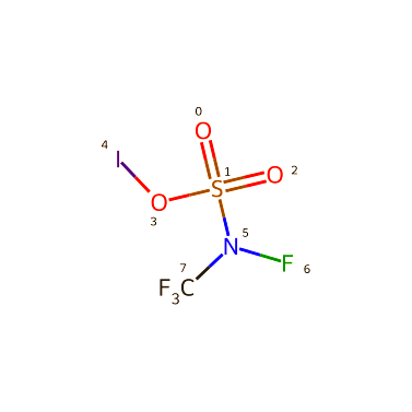 O=S(=O)(OI)N(F)C(F)(F)F